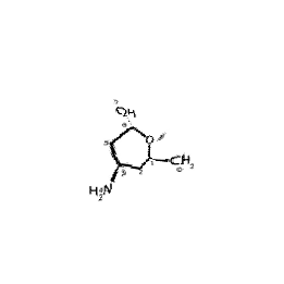 C[C@H]1C[C@@H](N)C[C@H](O)O1